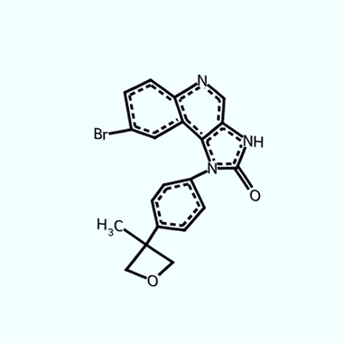 CC1(c2ccc(-n3c(=O)[nH]c4cnc5ccc(Br)cc5c43)cc2)COC1